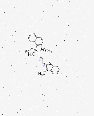 CC(=O)CC1(C)C(/C=C/C=C2\Sc3ccccc3N2C)=[N+](C)c2ccc3ccccc3c21